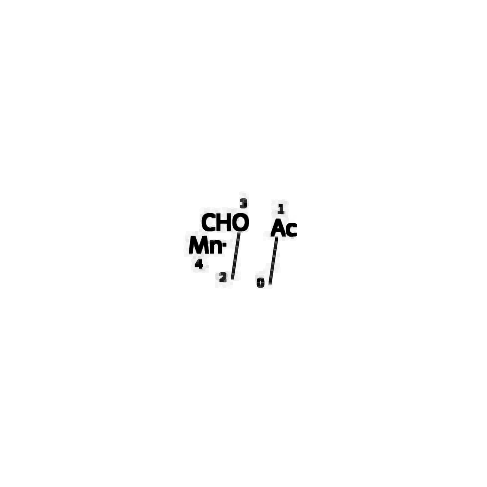 CC(C)=O.CC=O.[Mn]